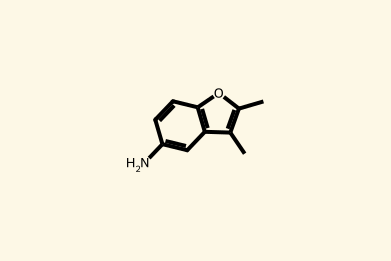 Cc1oc2ccc(N)cc2c1C